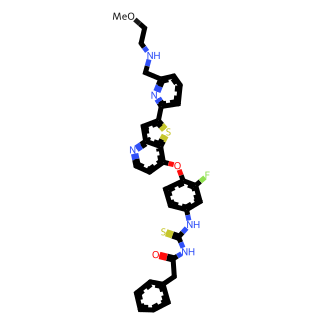 COCCNCc1cccc(-c2cc3nccc(Oc4ccc(NC(=S)NC(=O)Cc5ccccc5)cc4F)c3s2)n1